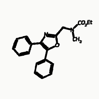 CCOC(=O)N(C)Cc1nc(-c2ccccc2)c(-c2ccccc2)o1